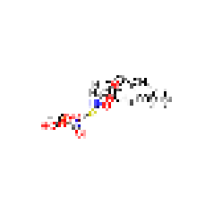 Cc1c(C)c2c(c(C)c1OCC(=O)NCCSSCCCC(=O)N1C[C@H](O)C[C@H]1CCP(C)(=O)OCCO)CCC(C)(CCCC(C)CCCC(C)CCCC(C)C)O2